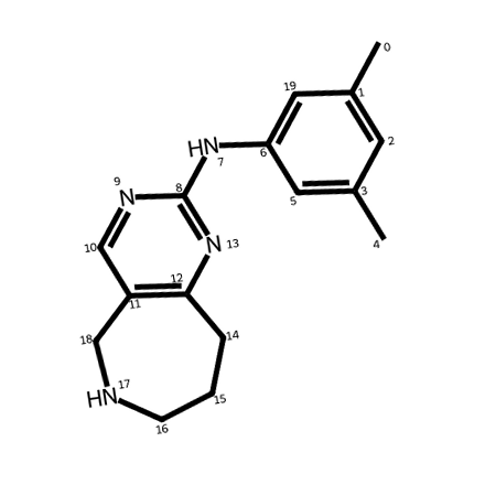 Cc1cc(C)cc(Nc2ncc3c(n2)CCCNC3)c1